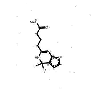 CCC1(Cl)NC(CCCC(=O)OC)=Nc2sccc21